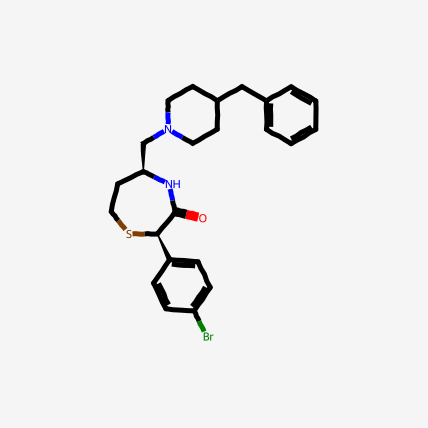 O=C1N[C@H](CN2CCC(Cc3ccccc3)CC2)CCS[C@@H]1c1ccc(Br)cc1